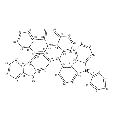 c1ccc(-n2c3ccccc3c3c(N(c4ccc5c(c4)oc4ccccc45)c4cccc5ccc6c7ccccc7ccc6c45)cccc32)cc1